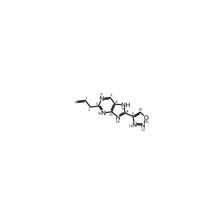 C=CCc1ncc2[nH]c(-c3conn3)nc2n1